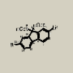 [Li][c]1ccc2c(c1)C(CCCCCCCC)(CCCCCCCC)c1cc(Br)ccc1-2